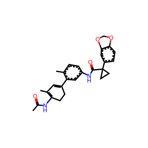 CC(=O)NC1=C(C)C=C(c2cc(NC(=O)C3(c4ccc5c(c4)OCO5)CC3)ccc2C)CC1